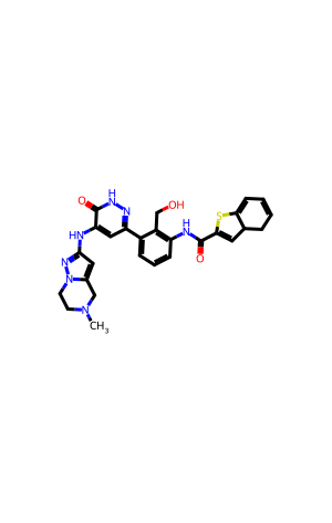 CN1CCn2nc(Nc3cc(-c4cccc(NC(=O)C5=CC6CC=CC=C6S5)c4CO)n[nH]c3=O)cc2C1